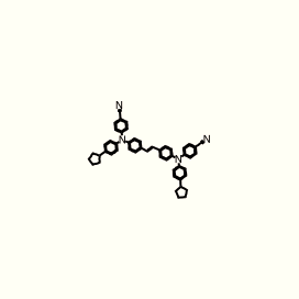 N#Cc1ccc(N(c2ccc(/C=C/c3ccc(N(c4ccc(C#N)cc4)c4ccc(C5CCCC5)cc4)cc3)cc2)c2ccc(C3CCCC3)cc2)cc1